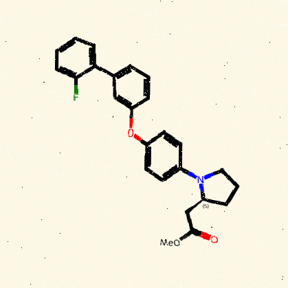 COC(=O)C[C@@H]1CCCN1c1ccc(Oc2cccc(-c3ccccc3F)c2)cc1